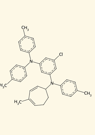 CC1=CCCC(N(c2ccc(C)cc2)c2cc(Cl)cc(N(c3ccc(C)cc3)c3ccc(C)cc3)c2)C=C1